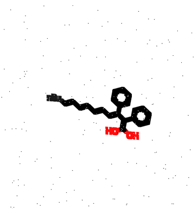 CCCCC=CC=CC=CC=C(C(=C(O)O)c1ccccc1)c1ccccc1